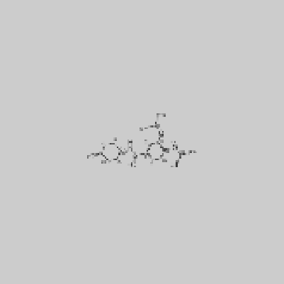 O=C1CC[C@H](NC(=O)c2ccc(OC(F)F)c(OC(F)F)c2)CN1